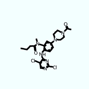 CCCC(=O)N(C)c1cc(N2CCN(C(C)=O)CC2)ccc1Nc1nc(Cl)ncc1Cl